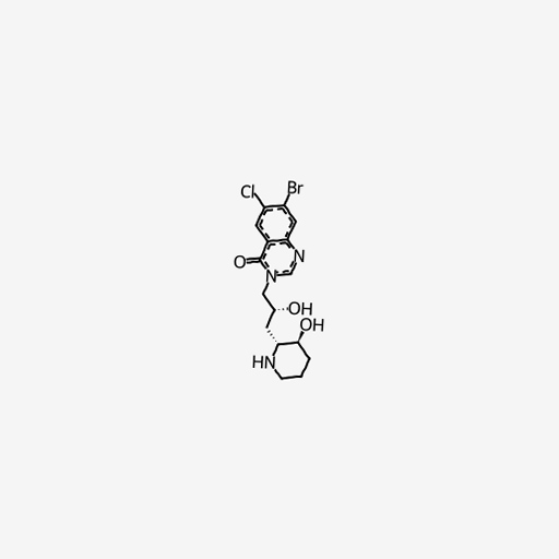 O=c1c2cc(Cl)c(Br)cc2ncn1C[C@H](O)C[C@H]1NCCC[C@@H]1O